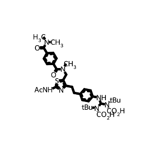 CC(=O)Nc1nc(CCc2ccc(NC(N(C(=O)O)C(C)(C)C)N(C(=O)O)C(C)(C)C)cc2)c(CN(C)C(=O)c2ccc(C(=O)N(C)C)cc2)s1